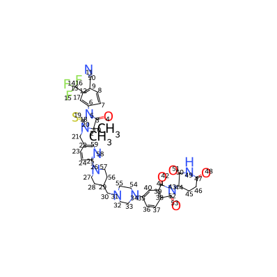 CC1(C)C(=O)N(c2ccc(C#N)c(C(F)(F)F)c2)C(=S)N1Cc1ccc(N2CCC(CN3CCN(c4ccc5c(c4)C(=O)N(C4CCC(=O)NC4=O)C5=O)CC3)CC2)nc1